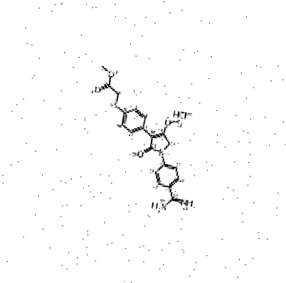 COC(=O)CSc1ccc(C2=C(OC)CN(c3ccc(C(=N)N)cc3)C2=O)cc1.Cl